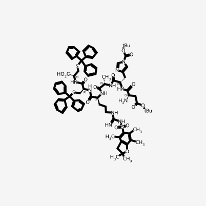 Cc1c(C)c(S(=O)(=O)NC(=N)NCCC[C@H](NC(=O)[C@H](C)NC(=O)[C@H](Cc2cn(C(=O)OC(C)(C)C)cn2)NC(=O)[C@@H](N)CC(=O)OC(C)(C)C)C(=O)N[C@@H](CSC(c2ccccc2)(c2ccccc2)c2ccccc2)C(=O)N[C@@H](CSC(c2ccccc2)(c2ccccc2)c2ccccc2)C(=O)O)c(C)c2c1OC(C)(C)C2